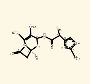 COC1=C(C(=O)O)N2C(=O)C[C@@H]2SC1NC(=O)C(N)c1csc(N)n1